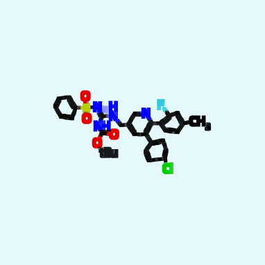 Cc1ccc(-c2ncc(CN/C(=N/S(=O)(=O)c3ccccc3)NC(=O)OC(C)(C)C)cc2-c2ccc(Cl)cc2)c(F)c1